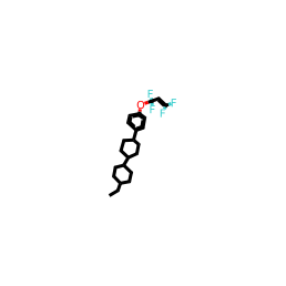 CCC1CCC(C2CCC(c3ccc(OC(F)(F)C=C(F)F)cc3)CC2)CC1